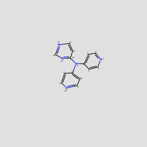 c1cc(N(c2ccncc2)c2ccncn2)ccn1